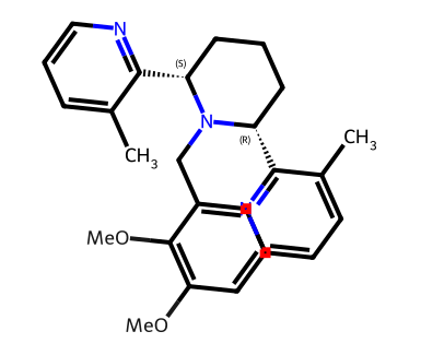 COc1cccc(CN2[C@@H](c3ncccc3C)CCC[C@H]2c2ncccc2C)c1OC